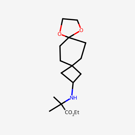 CCOC(=O)C(C)(C)NC1CC2(CCC3(CC2)OCCO3)C1